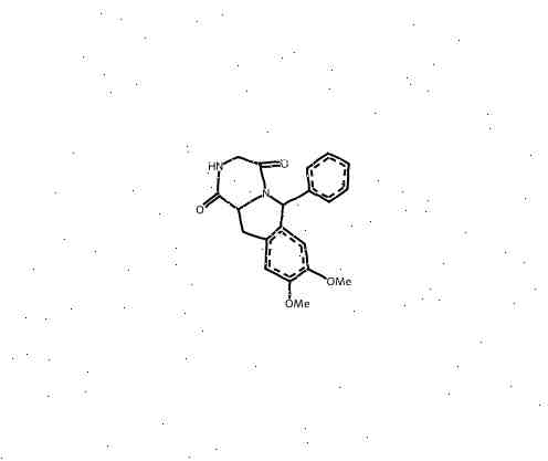 COc1cc2c(cc1OC)C(c1ccccc1)N1C(=O)CNC(=O)C1C2